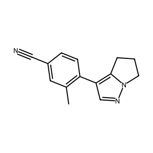 Cc1cc(C#N)ccc1-c1cnn2c1CCC2